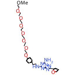 COCCOCCOCCOCCOCCOCCOCCOc1ccc(CCNc2nc(N)n3nc(-c4ccco4)nc3n2)cc1